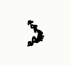 [B].[Co].[Cu].[Fe].[Ga].[Pr]